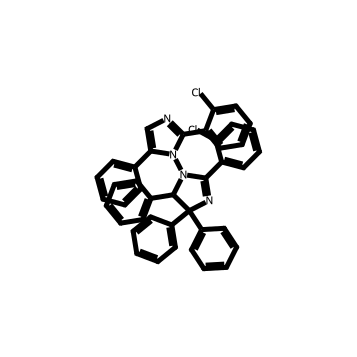 Clc1ccccc1C1=NC(c2ccccc2)(c2ccccc2)C(c2ccccc2)N1n1c(-c2ccccc2)cnc1-c1ccccc1Cl